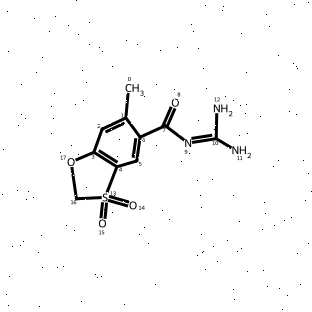 Cc1cc2c(cc1C(=O)N=C(N)N)S(=O)(=O)CO2